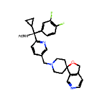 CC(=O)N[C@@](c1ccc(F)c(F)c1)(c1ccc(CN2CCC3(CC2)OCc2ccncc23)cn1)C1CC1